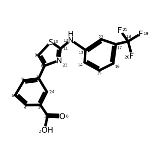 O=C(O)c1cccc(-c2csc(Nc3cccc(C(F)(F)F)c3)n2)c1